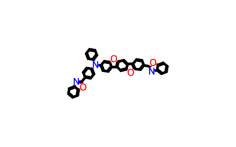 c1ccc(N(c2ccc(-c3nc4ccccc4o3)cc2)c2ccc3c(c2)oc2cc4c(cc23)oc2cc(-c3nc5ccccc5o3)ccc24)cc1